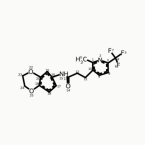 Cc1nc(C(F)(F)F)ccc1CCC(=O)Nc1ccc2c(c1)OCCO2